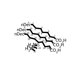 CCCCCCCCCCCCCCCCCC(=O)O.CCCCCCCCCCCCCCCCCC(=O)O.CCCCCCCCCCCCCCCCCC(=O)O.CN.CN.CN